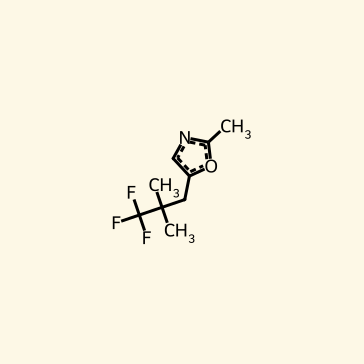 Cc1ncc(CC(C)(C)C(F)(F)F)o1